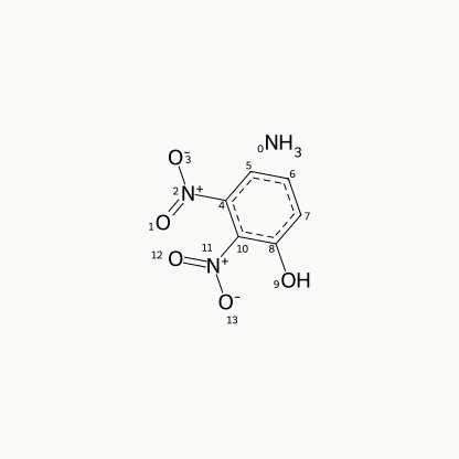 N.O=[N+]([O-])c1cccc(O)c1[N+](=O)[O-]